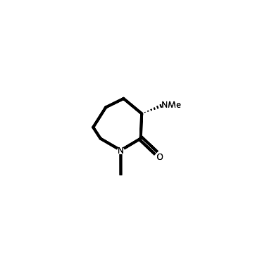 CN[C@H]1CCCCN(C)C1=O